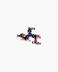 CCCCC(CC)COCCC(C)(O)c1ccc(-c2nc(-c3ccc(OC)cc3)nc(-c3ccc(C(C)(O)CCOCC(CC)CCCC)cc3)n2)cc1